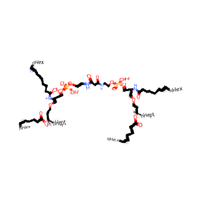 CCCCCC/C=C\CCCC(=O)O[C@H](CCCCCCC)CCOCC(COP(=O)(O)OCCNC(=O)CC(=O)NCCOP(=O)(O)OCC(COCC[C@@H](CCCCCCC)OC(=O)CCC/C=C\CCCCCC)NC(=O)CCCCC/C=C/CCCCCC)NC(=O)CCCCC/C=C/CCCCCC